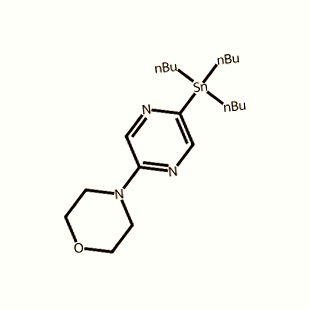 CCC[CH2][Sn]([CH2]CCC)([CH2]CCC)[c]1cnc(N2CCOCC2)cn1